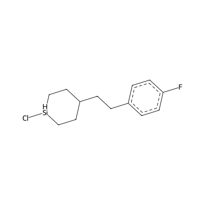 Fc1ccc(CCC2CC[SiH](Cl)CC2)cc1